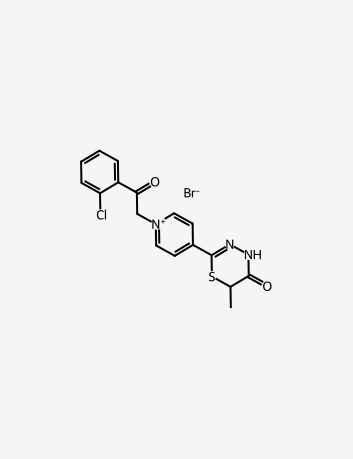 CC1SC(c2cc[n+](CC(=O)c3ccccc3Cl)cc2)=NNC1=O.[Br-]